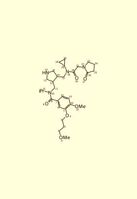 COCCCOc1cc(C(=O)N(CC2CNCC2CN(C(=O)CN2CCCC2=O)C2CC2)C(C)C)ccc1OC